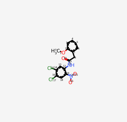 COc1ccccc1CC(=O)Nc1cc(Cl)c(Cl)cc1[N+](=O)[O-]